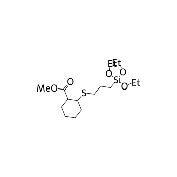 CCO[Si](CCCSC1CCCCC1C(=O)OC)(OCC)OCC